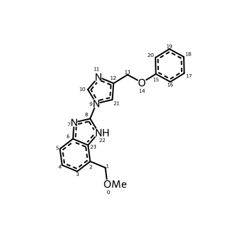 COCc1cccc2nc(-n3cnc(COc4ccccc4)c3)[nH]c12